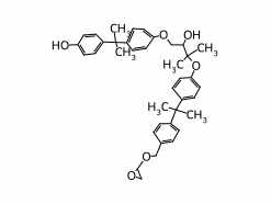 CC(C)(c1ccc(O)cc1)c1ccc(OCC(O)C(C)(C)Oc2ccc(C(C)(C)c3ccc(COC4CO4)cc3)cc2)cc1